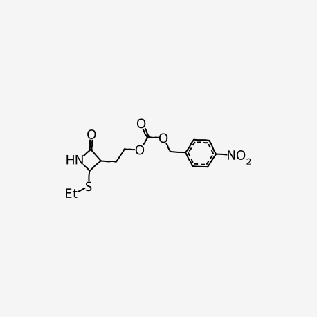 CCSC1NC(=O)C1CCOC(=O)OCc1ccc([N+](=O)[O-])cc1